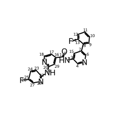 O=C(Nc1cncc(-c2ccccc2F)c1)c1ccnc(Nc2ccc(F)cn2)c1